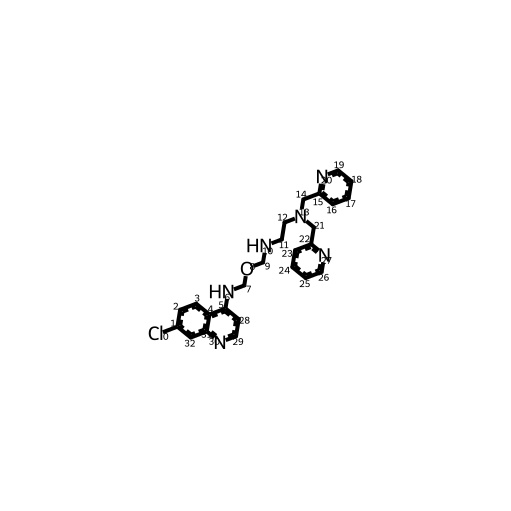 Clc1ccc2c(NCOCNCCN(Cc3ccccn3)Cc3ccccn3)ccnc2c1